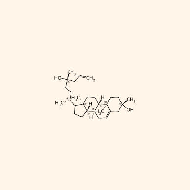 C=CC[C@@](C)(O)CC[C@@H](C)C1CC[C@H]2[C@@H]3CC=C4C[C@@](C)(O)CC[C@]4(C)[C@H]3CC[C@]12C